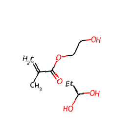 C=C(C)C(=O)OCCO.[CH2]CC(O)O